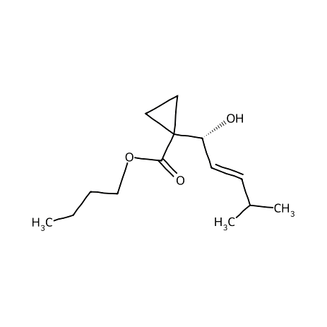 CCCCOC(=O)C1([C@H](O)/C=C/C(C)C)CC1